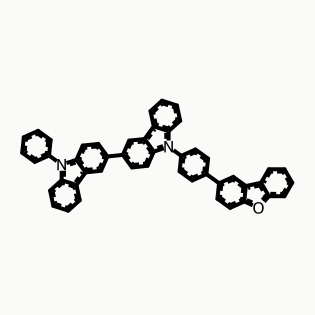 c1ccc(-n2c3ccccc3c3cc(-c4ccc5c(c4)c4ccccc4n5-c4ccc(-c5ccc6oc7ccccc7c6c5)cc4)ccc32)cc1